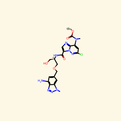 CN(C(=O)OC(C)(C)C)c1cc(Cl)nn2c(C(=O)N[C@H](CO)COCc3cc(N)c4nnn(C)c4c3)cnc12